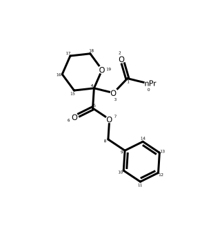 CCCC(=O)OC1(C(=O)OCc2ccccc2)CCCCO1